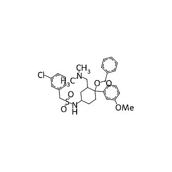 COc1cccc(C2(OC(=O)c3ccccc3)CCC(NS(=O)(=O)Cc3cccc(Cl)c3)CC2CN(C)C)c1